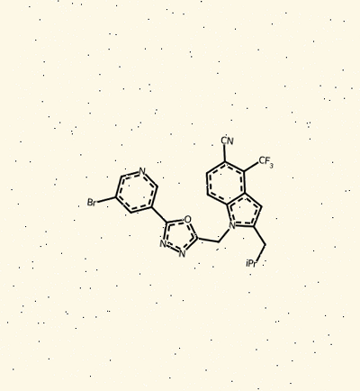 CC(C)Cc1cc2c(C(F)(F)F)c(C#N)ccc2n1Cc1nnc(-c2cncc(Br)c2)o1